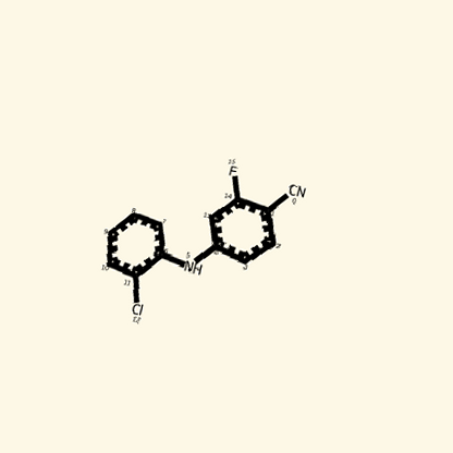 N#Cc1ccc(Nc2ccccc2Cl)cc1F